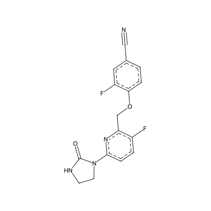 N#Cc1ccc(OCc2nc(N3CCNC3=O)ccc2F)c(F)c1